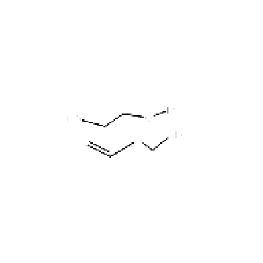 C=COCCCCCC.CCOCCO